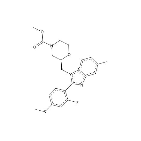 COC(=O)N1CCO[C@@H](Cc2c(-c3ccc(SC)cc3F)nc3cc(C)ccn23)C1